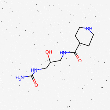 NC(=O)NCC(O)CNC(=O)C1CCNCC1